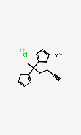 C#CCCC(C)(C1=CC=CC1)C1=CC=CC1.[Cl-].[Cl-].[V+2]